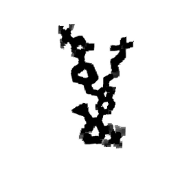 [2H]C([2H])([2H])Oc1ncnc(C2CC2)c1-c1ncc2nn(COCC[Si](C)(C)C)c(Cc3ccc(-c4nc(C(F)(F)F)cn4C)cc3)c2n1